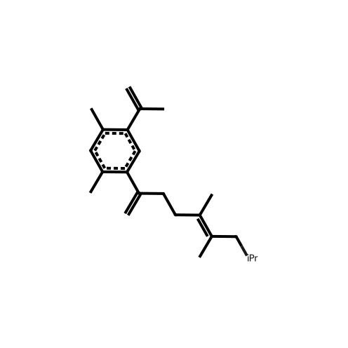 C=C(C)c1cc(C(=C)CC/C(C)=C(\C)CC(C)C)c(C)cc1C